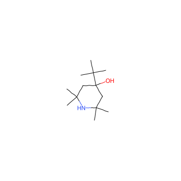 CC1(C)CC(O)(C(C)(C)C)CC(C)(C)N1